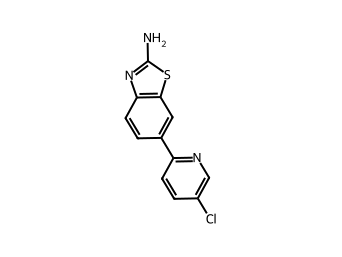 Nc1nc2ccc(-c3ccc(Cl)cn3)cc2s1